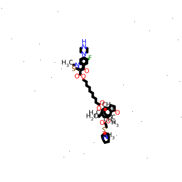 C=C[C@@]1(C)C[C@H](OC(=O)CSC2CC3CCC(C2)N3C)[C@@]2(C)C(C)CCC3(CCC(=O)C32)[C@H](C)[C@@H]1OC(=O)CCCCCCCCCOC(=O)c1c2n(c3cc(N4CCNCC4)c(F)cc3c1=O)C(C)S2